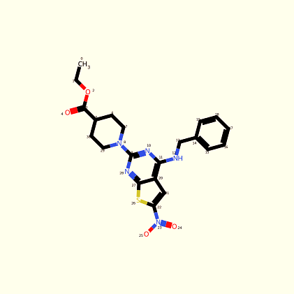 CCOC(=O)C1CCN(c2nc(NCc3ccccc3)c3cc([N+](=O)[O-])sc3n2)CC1